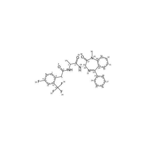 CC(NC(=O)Cc1ccc(F)cc1C(F)(F)F)C(=O)N[C@H]1N=C(c2ccccc2)c2ccccc2N(C)C1=O